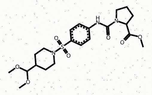 COC(=O)C1CCCN1C(=O)Nc1ccc(S(=O)(=O)N2CCC(C(OC)OC)CC2)cc1